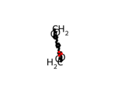 C=CC(=O)Oc1ccc(CCc2ccc(CCc3ccc(OC(=O)C=C)cc3)cc2)cc1